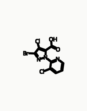 O=C(O)c1c(Cl)c(Br)nn1-c1ncccc1Cl